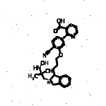 CC(C)(C[C@H]1Cc2ccccc2C1CCCOc1cc(-c2ncccc2C(=O)O)ccc1C#N)NO